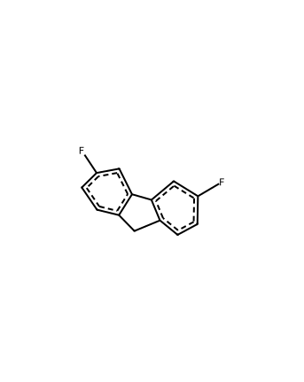 Fc1ccc2c(c1)-c1cc(F)ccc1C2